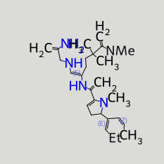 C=C(N)CN/C=C(\CCC(C)(C)C(=C)NC)NC(=C)C1=CCC(C(/C=C\C)=C/CC)N1C